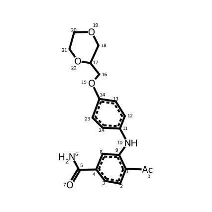 CC(=O)c1ccc(C(N)=O)cc1Nc1ccc(OCC2COCCO2)cc1